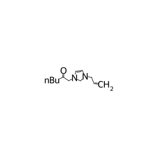 C=CCN1C=CN(CC(=O)CCCC)C1